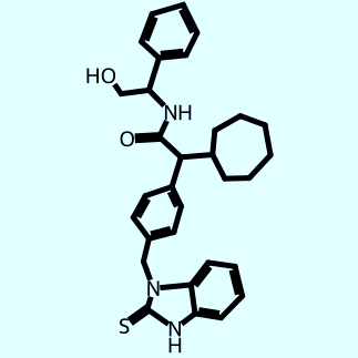 O=C(NC(CO)c1ccccc1)C(c1ccc(Cn2c(=S)[nH]c3ccccc32)cc1)C1CCCCCC1